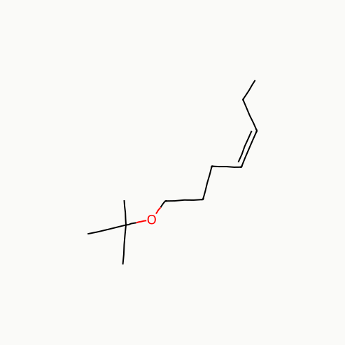 CC/C=C\CCCOC(C)(C)C